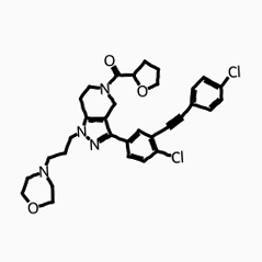 O=C(C1CCCO1)N1CCc2c(c(-c3ccc(Cl)c(C#Cc4ccc(Cl)cc4)c3)nn2CCCN2CCOCC2)C1